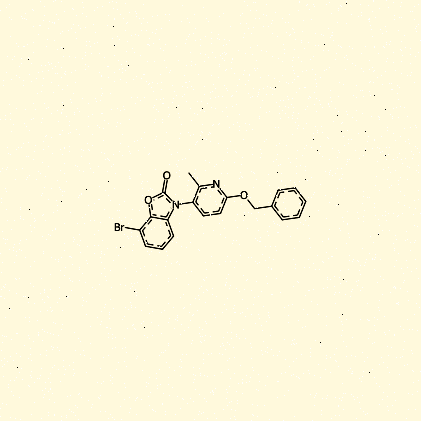 Cc1nc(OCc2ccccc2)ccc1-n1c(=O)oc2c(Br)cccc21